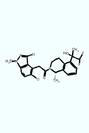 C[C@H]1c2cccc(C(C)(O)C(F)F)c2CCN1C(=O)Cc1c(Cl)ccc2c1c(Cl)nn2C